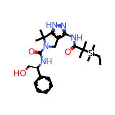 CC[Si](C)(C)C(C)(C)C(=O)Nc1n[nH]c2c1CN(C(=O)N[C@H](CO)c1ccccc1)C2(C)C